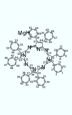 [MgH2].c1ccc(C2=C(c3ccccc3)C3=NC4=NC(=NC5=NC(=NC6=NC(=NC2=N3)C(c2ccccc2)=C6c2ccccc2)C(c2ccccc2)=C5c2ccccc2)C(c2ccccc2)=C4c2ccccc2)cc1